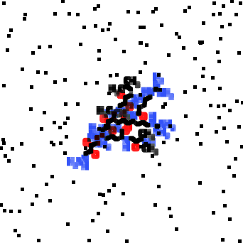 CN[C@@H](C)C(=O)CN[C@@H](CCCNC(N)N)C(=O)N[C@@H](CC(C)C)C(=O)C(=O)[C@H](CCCNC(N)N)NC(=O)[C@H](CCCNC(N)N)NN[C@@H](CC(C)C)C(=O)C(=O)CNNCC(=O)C(=O)CNNCC(=O)C(=O)CNN